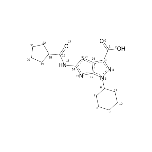 O=C(O)c1nn(C2CCCCC2)c2nc(NC(=O)C3CCCC3)sc12